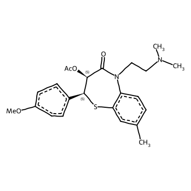 COc1ccc([C@@H]2Sc3cc(C)ccc3N(CCN(C)C)C(=O)[C@@H]2OC(C)=O)cc1